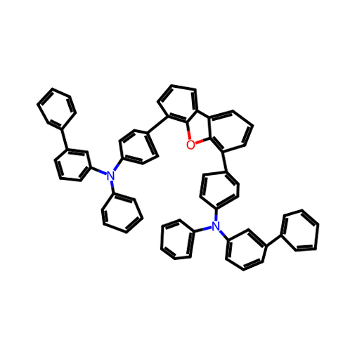 c1ccc(-c2cccc(N(c3ccccc3)c3ccc(-c4cccc5c4oc4c(-c6ccc(N(c7ccccc7)c7cccc(-c8ccccc8)c7)cc6)cccc45)cc3)c2)cc1